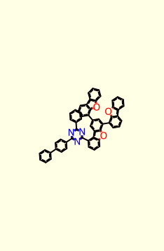 c1ccc(-c2ccc(-c3nc(-c4ccccc4)nc(-c4cccc5oc6c(-c7cccc8c7oc7ccccc78)cc(-c7cccc8c7oc7ccccc78)cc6c45)n3)cc2)cc1